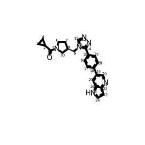 O=C(C1CC1)N1CC[C@@H](Cn2cnnc2-c2ccc(-c3cnc4cc[nH]c4c3)cc2)C1